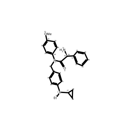 CCN(c1ccc(CN(C(=O)[C@@H](N)c2ccccc2)c2ccc(OC)cc2)cc1)C1CC1